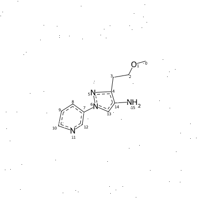 COCCc1nn(-c2cccnc2)cc1N